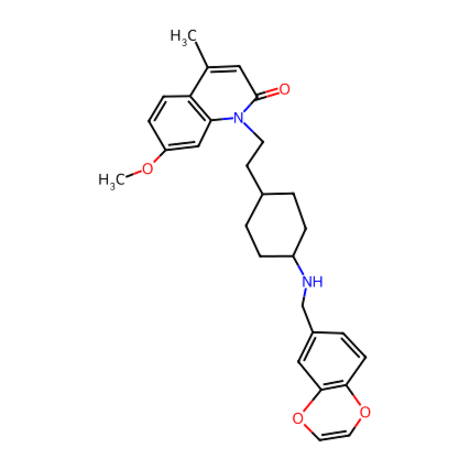 COc1ccc2c(C)cc(=O)n(CCC3CCC(NCc4ccc5c(c4)OC=CO5)CC3)c2c1